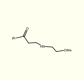 COCCNCCC(=O)C(C)C